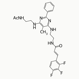 CC(=O)NCCNc1nc(-c2ccccc2)nc(NCCNC(=O)C=Cc2ccc(F)c(F)c2F)c1C